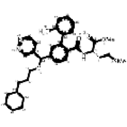 COC(=O)[C@H](CCSC)NC(=O)c1ccc(C(OCCCC2CCCCC2)c2ccnnc2)cc1-c1ccccc1C